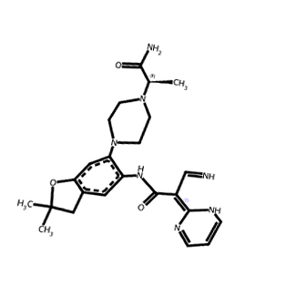 C[C@H](C(N)=O)N1CCN(c2cc3c(cc2NC(=O)/C(C=N)=C2\N=CC=CN2)CC(C)(C)O3)CC1